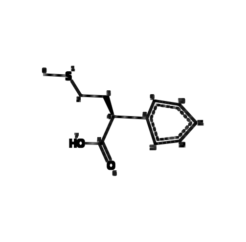 CSCC[C@H](C(=O)O)c1ccccc1